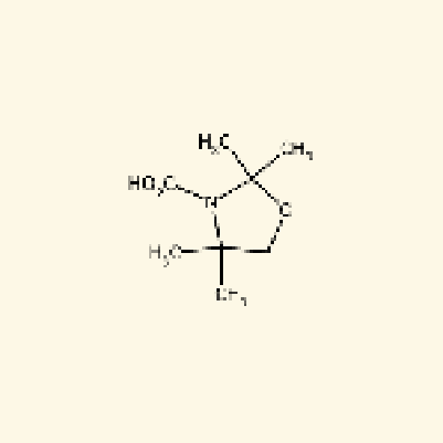 CC1(C)COC(C)(C)N1C(=O)O